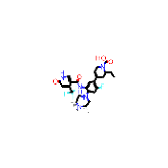 CCC1CC(c2cc(NC(=O)c3c[nH]c(=O)cc3C(F)(F)F)c(N3C[C@@H](C)N(C)[C@@H](C)C3)cc2F)=CCN1C(=O)O